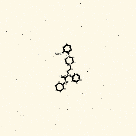 COc1ccccc1N1CCN(CCN(C(=S)NC2CCCCC2)c2ccccn2)CC1